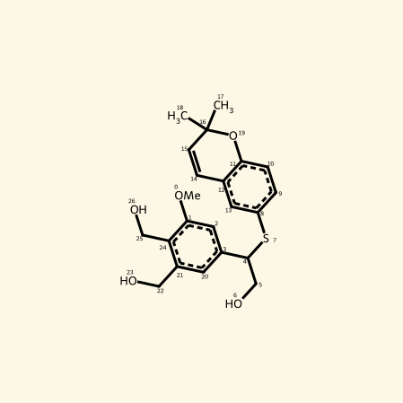 COc1cc(C(CO)Sc2ccc3c(c2)C=CC(C)(C)O3)cc(CO)c1CO